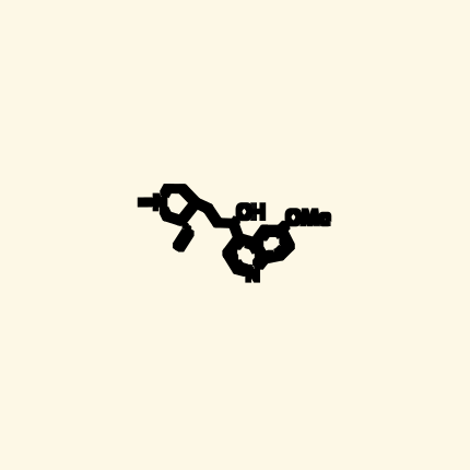 C=C[C@@H]1CN(C)CCC1CC[C@@H](O)c1ccnc2ccc(OC)cc12